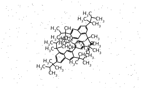 CC(C)C(C)(C)c1cc(C(C)(C)C(C)C)c2cc(-c3cc(S(C)(=O)=O)ccc3P(O)(O)(O)c3cc4c(C(C)(C)C(C)C)cc(C(C)(C)C(C)C)cc4cc3C(C)(C)C(C)C)c(C(C)(C)C(C)C)cc2c1